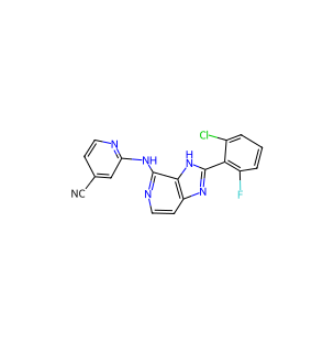 N#Cc1ccnc(Nc2nccc3nc(-c4c(F)cccc4Cl)[nH]c23)c1